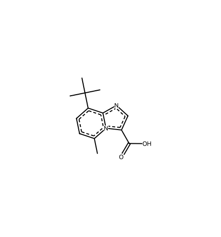 Cc1ccc(C(C)(C)C)c2ncc(C(=O)O)n12